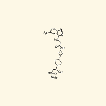 CNS(=O)(=O)CC(O)[C@H]1CC[C@H](N2CC(NC(=O)CNc3ncnc4ccc(C(F)(F)F)cc34)C2)CC1